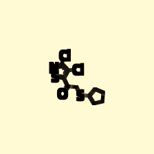 O=C(CSC1CCCC1)c1snc(Cl)c1Cl